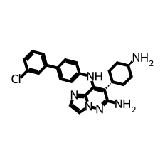 Nc1nn2ccnc2c(Nc2ccc(-c3cccc(Cl)c3)cc2)c1[C@H]1CC[C@H](N)CC1